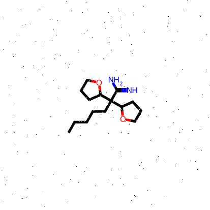 CCCCCC(C(=N)N)(C1CCCO1)C1CCCO1